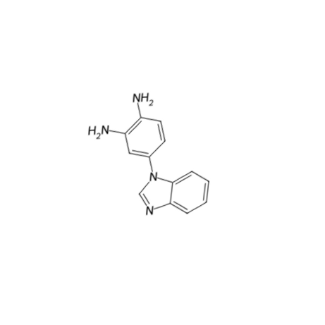 Nc1ccc(-n2cnc3ccccc32)cc1N